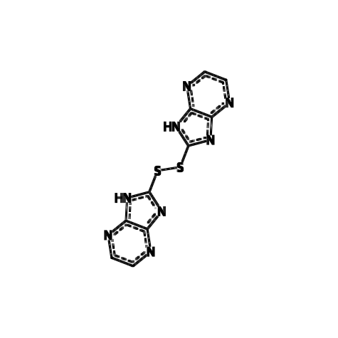 c1cnc2[nH]c(SSc3nc4nccnc4[nH]3)nc2n1